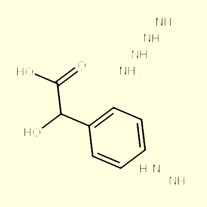 N.N.N.N.N.N.O=C(O)C(O)c1ccccc1